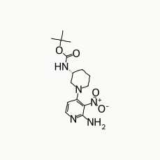 CC(C)(C)OC(=O)N[C@@H]1CCCN(c2ccnc(N)c2[N+](=O)[O-])C1